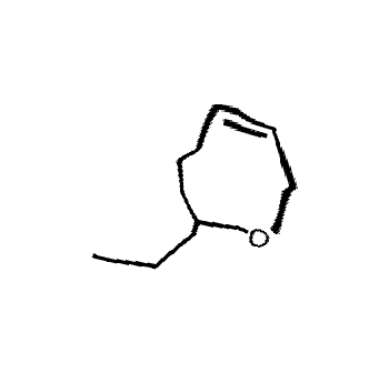 CCC1CC=CCO1